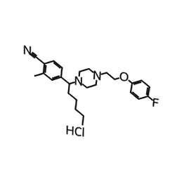 CCCCCC(c1ccc(C#N)c(C)c1)N1CCN(CCOc2ccc(F)cc2)CC1.Cl